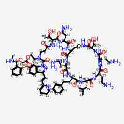 CNC(=O)c1ccccc1Sc1ccc2c(/C=C/c3ccccn3)nn(C(=O)N(CCOC(C)=O)CCC(=O)N[C@H](C(=O)N[C@@H](CCN)C(=O)N[C@H]3CCNC(=O)[C@@H]([C@@H](C)O)NC(=O)[C@H](CCN)NC(=O)[C@H](CCN)NC(=O)[C@H](CC(C)C)NC(=O)[C@@H](CCc4ccccc4)NC(=O)[C@H](CCN)NC3=O)[C@@H](C)O)c2c1